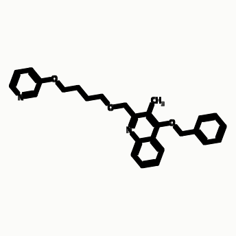 Cc1c(COCCCCOc2cccnc2)nc2ccccc2c1OCc1ccccc1